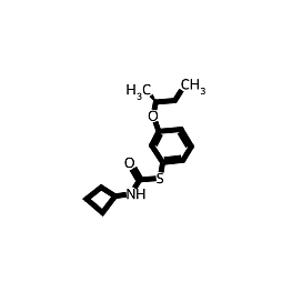 CC[C@H](C)Oc1cccc(SC(=O)NC2CCC2)c1